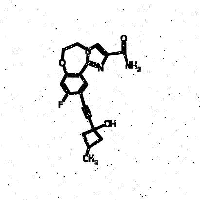 CC1CC(O)(C#Cc2cc3c(cc2F)OCCn2cc(C(N)=O)nc2-3)C1